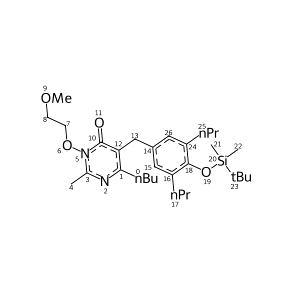 CCCCc1nc(C)n(OCCOC)c(=O)c1Cc1cc(CCC)c(O[Si](C)(C)C(C)(C)C)c(CCC)c1